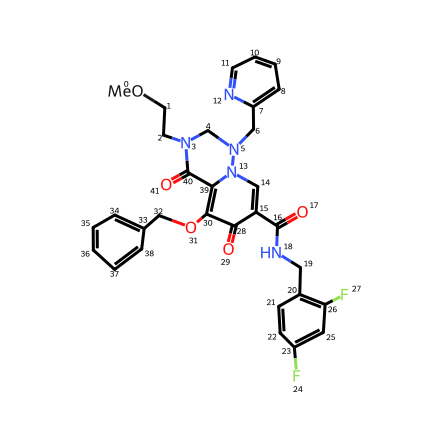 COCCN1CN(Cc2ccccn2)n2cc(C(=O)NCc3ccc(F)cc3F)c(=O)c(OCc3ccccc3)c2C1=O